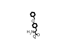 COC(=O)C(N)Cc1ccc(OCc2ccccc2)cc1